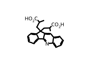 CC(CC1(CC(C)C(=O)O)c2ccccc2-c2nc3ccccc3cc21)C(=O)O